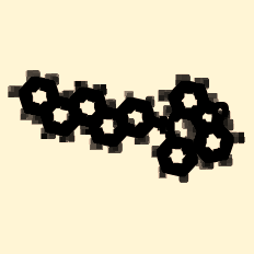 c1ccc(N(c2ccc3c(ccc4c3ccc3c5ccccc5ccc34)c2)c2cccc3oc4ccccc4c23)cc1